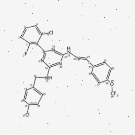 Fc1cccc(Cl)c1-c1nc(NCc2ccc(Cl)cc2)nc(NN=Cc2ccc(OC(F)(F)F)cc2)n1